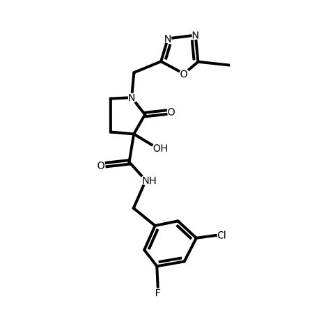 Cc1nnc(CN2CCC(O)(C(=O)NCc3cc(F)cc(Cl)c3)C2=O)o1